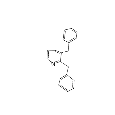 c1ccc(Cc2cccnc2Cc2ccccc2)cc1